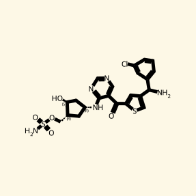 NC(c1cccc(Cl)c1)c1csc(C(=O)c2cncnc2N[C@@H]2C[C@H](COS(N)(=O)=O)[C@@H](O)C2)c1